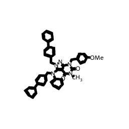 COc1ccc(Cn2c(=O)n(C)c(=O)c3c(N(Cc4ccc(-c5ccccc5)cc4)c4ccccc4)n(Cc4ccc(-c5ccccc5)cc4)nc32)cc1